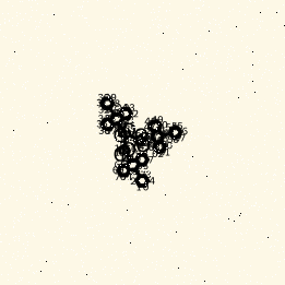 c1ccc(-c2c3ccccc3c(B3OCC(C4OB(c5c6ccccc6c(-c6ccccc6)c6ccccc56)OC4C4COB(c5c6ccccc6c(-c6ccccc6)c6ccccc56)O4)O3)c3ccccc23)cc1